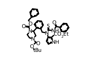 CCOC(=O)c1[nH]ccc1N(Cc1ccccc1C1CN(C(=O)OC(C)(C)C)CCN1C(=O)OCc1ccccc1)C(=S)NC(=O)c1ccccc1